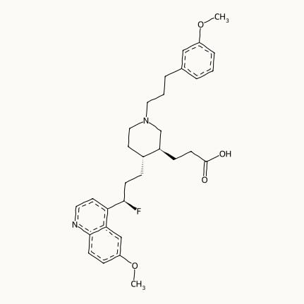 COc1cccc(CCCN2CC[C@@H](CC[C@@H](F)c3ccnc4ccc(OC)cc34)[C@H](CCC(=O)O)C2)c1